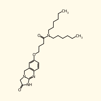 CCCCCCN(CCCCCC)C(=O)CCCOc1ccc2c(c1)CN1CC(=O)NC1=N2